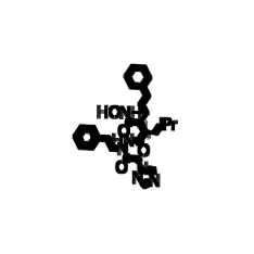 CC(C)C[C@@H](C(=O)NN(CCc1ccccc1)C(=O)Cn1cncn1)[C@H](CCCC1CCCCC1)C(=O)NO